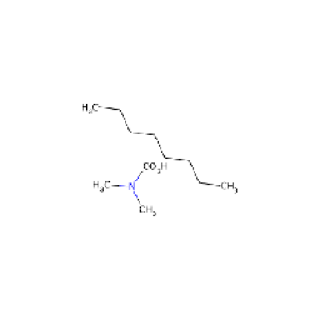 CCCCCCCC.CN(C)C(=O)O